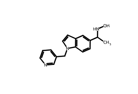 CC(NO)c1ccc2c(ccn2Cc2cccnc2)c1